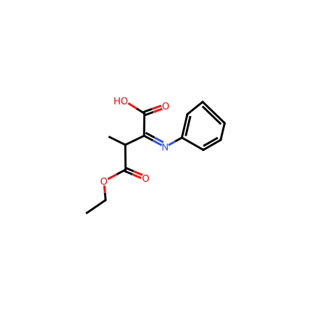 CCOC(=O)C(C)C(=Nc1ccccc1)C(=O)O